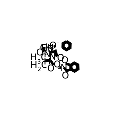 C=C(C)C(C(=O)OCN1C(=O)c2ccccc2C1=O)N1C(=O)CC1(NC(C)=O)[S+]([O-])Cl.c1cc2cc(c1)O2